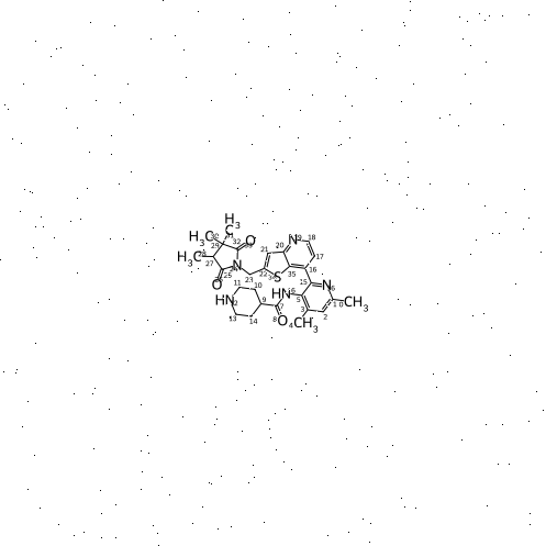 Cc1cc(C)c(NC(=O)C2CCNCC2)c(-c2ccnc3cc(CN4C(=O)C(C)C(C)(C)C4=O)sc23)n1